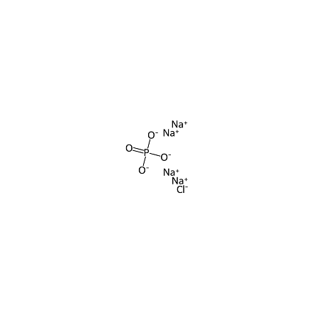 O=P([O-])([O-])[O-].[Cl-].[Na+].[Na+].[Na+].[Na+]